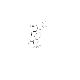 N#CN1CC(=O)NC(COCc2cc(C(F)(F)F)cc(C(F)(F)F)c2)C1c1ccccc1